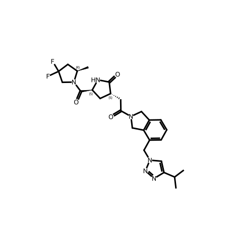 CC(C)c1cn(Cc2cccc3c2CN(C(=O)C[C@@H]2C[C@@H](C(=O)N4CC(F)(F)C[C@H]4C)NC2=O)C3)nn1